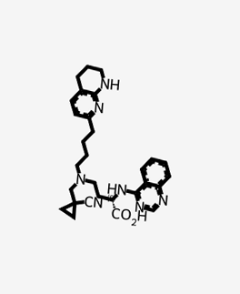 N#CC1(CN(CCCCc2ccc3c(n2)NCCC3)CC[C@H](Nc2ncnc3ccccc23)C(=O)O)CC1